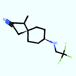 CC(C)[C@]1(CC#N)CC[C@@H](NCC(F)(F)F)CC1